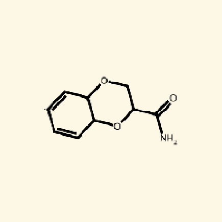 NC(=O)C1COC2C=[C]C=CC2O1